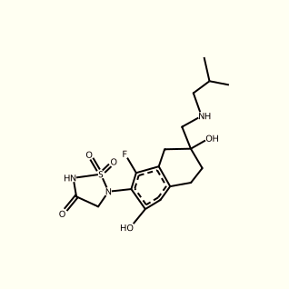 CC(C)CNCC1(O)CCc2cc(O)c(N3CC(=O)NS3(=O)=O)c(F)c2C1